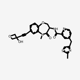 Cc1nc(Cc2ccnc(C(=O)NC3COc4ccc(C#CC5(O)COC5)cc4N(C)C3=O)c2)cs1